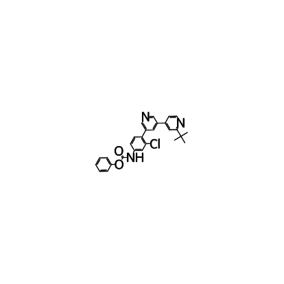 CC(C)(C)c1cc(-c2cncc(-c3ccc(NC(=O)Oc4ccccc4)cc3Cl)c2)ccn1